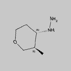 C[C@H]1COCC[C@@H]1NN